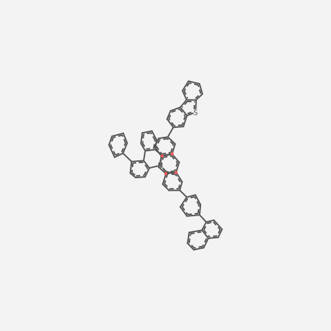 c1ccc(-c2ccccc2-c2c(-c3ccccc3)cccc2N(c2ccc(-c3ccc(-c4cccc5ccccc45)cc3)cc2)c2ccc(-c3ccc4c(c3)sc3ccccc34)cc2)cc1